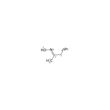 CC[CH]CC(C)=NO